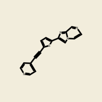 C(#Cc1ccc(-c2[c]n3ccncc3n2)s1)c1ccncc1